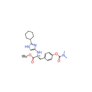 CN(C)C(=O)Oc1ccc(C[C@H](Nc2c[nH]c(C3CCCCC3)n2)C(=O)OC(C)(C)C)cc1